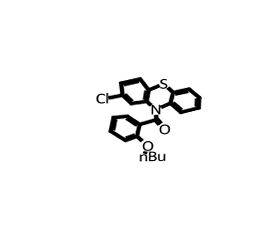 CCCCOc1ccccc1C(=O)N1c2ccccc2Sc2ccc(Cl)cc21